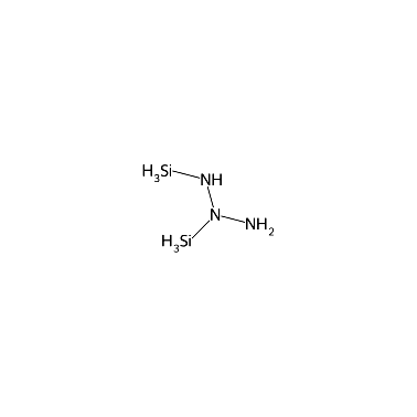 NN([SiH3])N[SiH3]